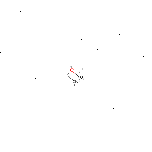 CC#N.O=[N+]([O-])[O-].[Cu]